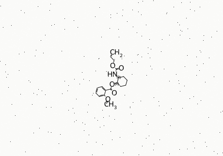 C=CCOC(=O)N[C@@H]1CCCC[C@H]1OC(=O)c1ccccc1OC